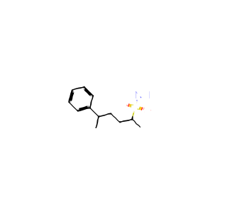 CC(CCC(C)S(N)(=O)=O)c1ccccc1